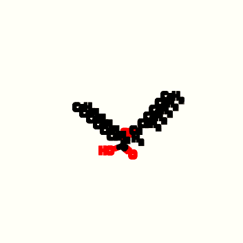 O=C(O)O.[CaH2].[CaH2].[CaH2].[CaH2].[CaH2].[CaH2].[CaH2].[CaH2].[CaH2].[CaH2].[CaH2].[CaH2]